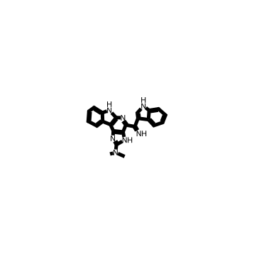 CN(C)c1nc2c([nH]1)c(C(=N)c1c[nH]c3ccccc13)nc1[nH]c3ccccc3c12